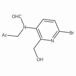 CC(=O)CN(C=O)c1ccc(Br)nc1CO